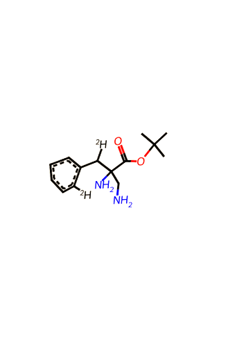 [2H]c1ccccc1C([2H])C(N)(CN)C(=O)OC(C)(C)C